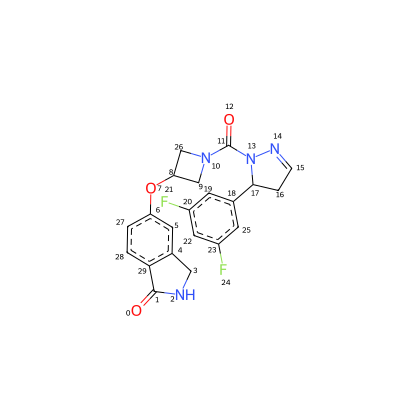 O=C1NCc2cc(OC3CN(C(=O)N4N=CCC4c4cc(F)cc(F)c4)C3)ccc21